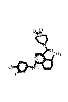 CC1CC=Cc2c(Nc3ccc(Cl)c(F)c3)ncc(C(=O)N3CCS(=O)(=O)CC3)c21